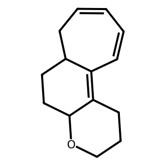 C1=CCC2CCC3OCCCC3=C2C=C1